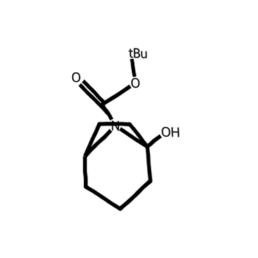 CC(C)(C)OC(=O)N1C2CCCC1(O)CC2